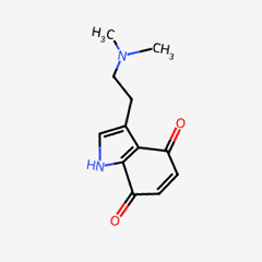 CN(C)CCc1c[nH]c2c1C(=O)C=CC2=O